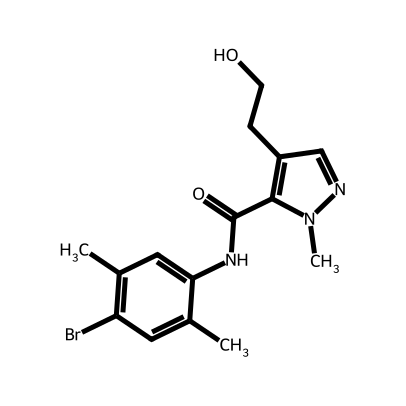 Cc1cc(NC(=O)c2c(CCO)cnn2C)c(C)cc1Br